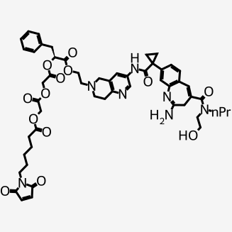 CCCN(CCO)C(=O)C1=Cc2ccc(C3(C(=O)Nc4cnc5c(c4)CN(CCOC(=O)[C@H](Cc4ccccc4)OC(=O)COC(=O)COC(=O)CCCCCN4C(=O)C=CC4=O)CC5)CC3)cc2N=C(N)C1